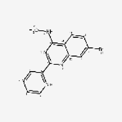 CNc1nc(-c2cnccn2)nc2cc(Br)ccc12